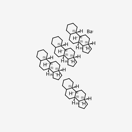 C1CC[C@H]2C(C1)CC[C@H]1[C@@H]3CCC[C@H]3CC[C@@H]12.C1CC[C@H]2C(C1)CC[C@H]1[C@@H]3CCC[C@H]3CC[C@@H]12.C1CC[C@H]2C(C1)CC[C@H]1[C@@H]3CCC[C@H]3CC[C@@H]12.C1CC[C@H]2C(C1)CC[C@H]1[C@@H]3CCC[C@H]3CC[C@@H]12.[Ba]